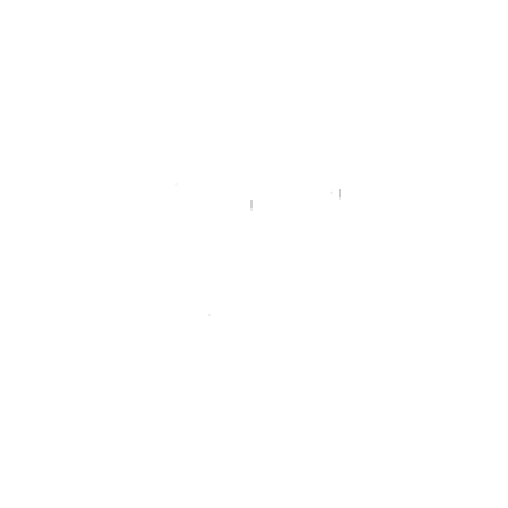 CC(=O)CCC1CCNCC1.O=S(=O)(O)O